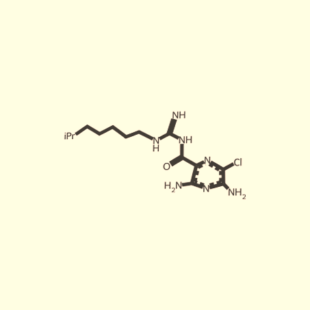 CC(C)CCCCCNC(=N)NC(=O)c1nc(Cl)c(N)nc1N